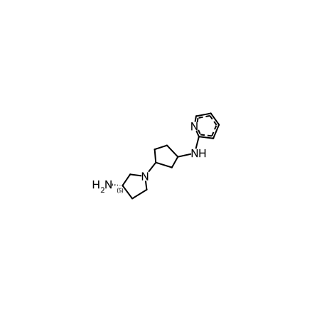 N[C@H]1CCN(C2CCC(Nc3ccccn3)C2)C1